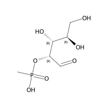 CP(=O)(O)O[C@@H](C=O)[C@H](O)[C@H](O)CO